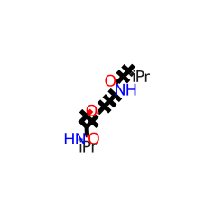 CC(C)NC(=O)C1CC(C)(OCC(C)(C)C(C)(C)C(C)(C)NC(=O)C(C)(C)C(C)(C)C(C)C)C1(C)C